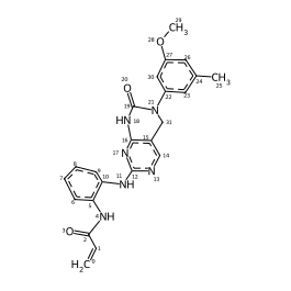 C=CC(=O)Nc1ccccc1Nc1ncc2c(n1)NC(=O)N(c1cc(C)cc(OC)c1)C2